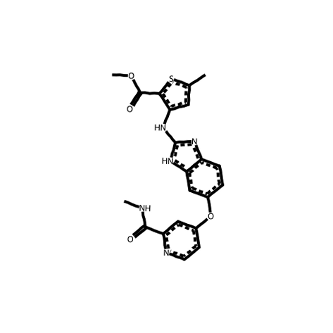 CNC(=O)c1cc(Oc2ccc3nc(Nc4cc(C)sc4C(=O)OC)[nH]c3c2)ccn1